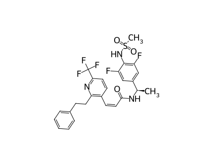 C[C@@H](NC(=O)/C=C\c1ccc(C(F)(F)F)nc1CCc1ccccc1)c1cc(F)c(NS(C)(=O)=O)c(F)c1